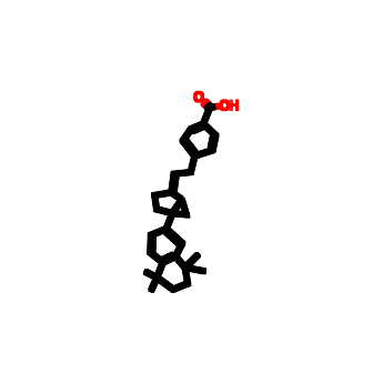 CC1(C)CCC(C)(C)c2cc(C34CCC(=CCc5ccc(C(=O)O)cc5)C3C4)ccc21